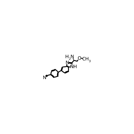 COC[C@H](N)c1nc2cc(-c3ccc(C#N)cc3)ccc2[nH]1